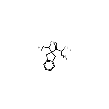 CC(C)C(=O)C1(C(C)C)Cc2ccccc2C1